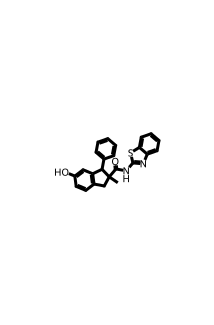 CC1(C(=O)Nc2nc3ccccc3s2)Cc2ccc(O)cc2C1c1ccccc1